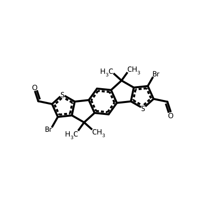 CC1(C)c2cc3c(cc2-c2sc(C=O)c(Br)c21)C(C)(C)c1c-3sc(C=O)c1Br